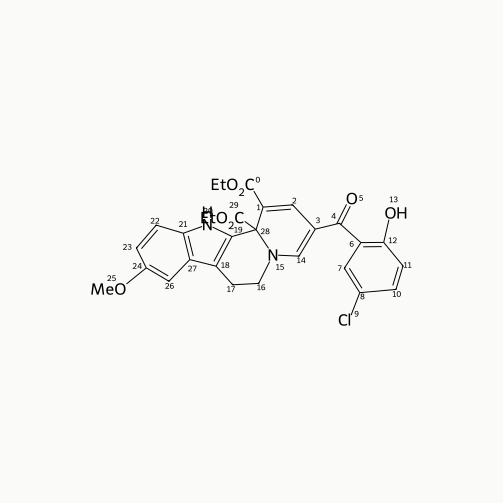 CCOC(=O)C1=CC(C(=O)c2cc(Cl)ccc2O)=CN2CCc3c([nH]c4ccc(OC)cc34)C12C(=O)OCC